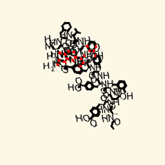 CCC(=O)N[C@@H](C)C(=O)N[C@@H](Cc1ccc(C(=O)O)cc1)C(=O)NC(CC(=O)O)C(=O)N[C@@H](Cc1cccc(C)c1)C(=O)N[C@@H](Cc1ccc(C(=O)O)cc1)C(=O)N[C@@H](Cc1ccc(-c2ccccc2)cc1)C(=O)N[C@@H](Cc1ccc(C(=O)O)cc1)C(=O)N(C)C(C)C(=O)N[C@H](CC(C)C)C(=O)N[C@@H](CCN)C(=O)N[C@@H](CC1CCCCC1)C(=O)NC(C(=O)N[C@@H](CCC(=O)O)C(=O)NC(CC)C(=O)N[C@@H](CCN)C(N)=O)C(C)C